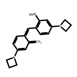 C=c1cc(N2CCC2)cc/c1=C/c1ccc(N2CCC2)cc1NC